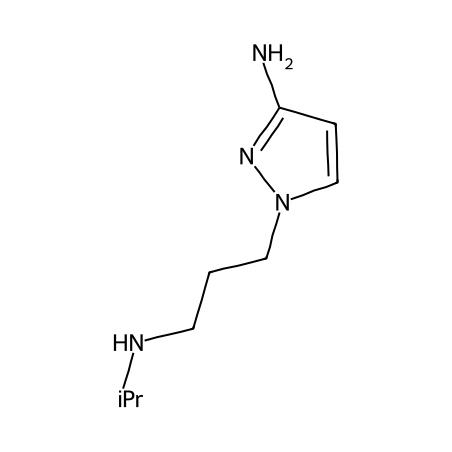 CC(C)NCCCn1ccc(N)n1